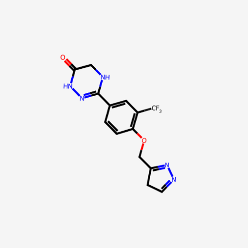 O=C1CNC(c2ccc(OCC3=NN=CC3)c(C(F)(F)F)c2)=NN1